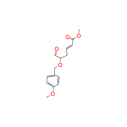 COC(=O)C=CCC(C=O)OCc1ccc(OC)cc1